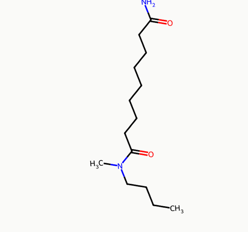 CCCCN(C)C(=O)CCCCCCCC(N)=O